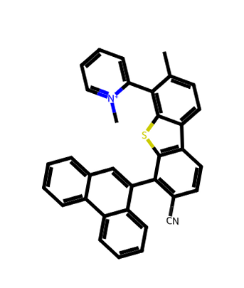 Cc1ccc2c(sc3c(-c4cc5ccccc5c5ccccc45)c(C#N)ccc32)c1-c1cccc[n+]1C